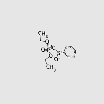 CCOP(=O)([13CH2][S+]([O-])c1ccccc1)OCC